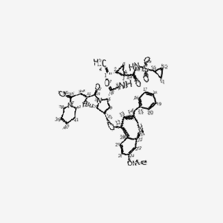 C=C[C@@H]1C[C@@]1(NC(=O)[C@@H]1C[C@@H](Oc2cc(-c3ccccc3)nc3cc(OC)ccc23)CN1C(=O)C(CC(=O)N1CCCCC1)C(C)(C)C)C(=O)NS(=O)(=O)C1CC1